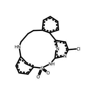 O=S1(=O)Nc2nc(Cl)cc(n2)-c2ccccc2CCCNc2cccc1c2